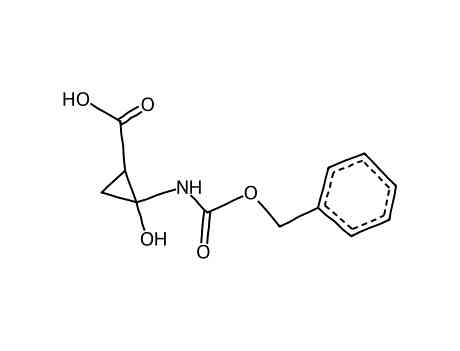 O=C(NC1(O)CC1C(=O)O)OCc1ccccc1